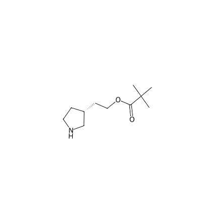 CC(C)(C)C(=O)OCC[C@H]1CCNC1